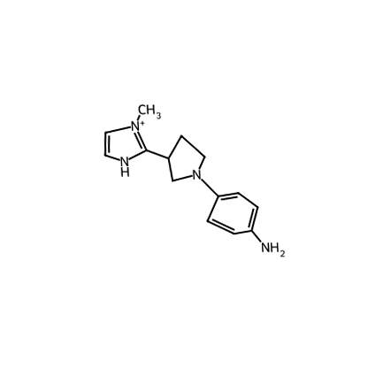 C[n+]1cc[nH]c1C1CCN(c2ccc(N)cc2)C1